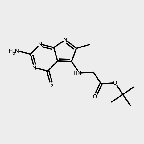 CC1=NC2=NC(N)=NC(=S)C2=C1NCC(=O)OC(C)(C)C